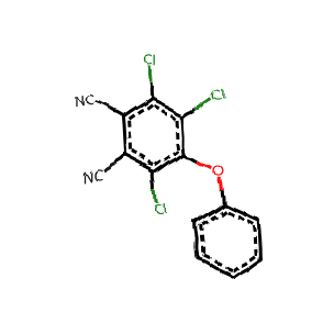 N#Cc1c(Cl)c(Cl)c(Oc2ccccc2)c(Cl)c1C#N